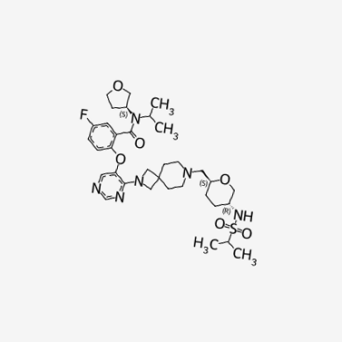 CC(C)N(C(=O)c1cc(F)ccc1Oc1cncnc1N1CC2(CCN(C[C@@H]3CC[C@@H](NS(=O)(=O)C(C)C)CO3)CC2)C1)[C@H]1CCOC1